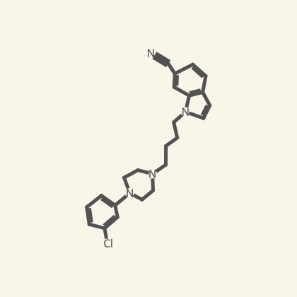 N#Cc1ccc2ccn(CCCCN3CCN(c4cccc(Cl)c4)CC3)c2c1